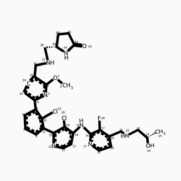 COc1nc(-c2cccc(-c3nccc(Nc4nccc(CNC[C@H](C)O)c4F)c3Cl)c2Cl)ccc1CNC[C@@H]1CCC(=O)N1